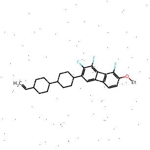 C=CC1CCC(C2CCC(c3cc4c(c(F)c3F)-c3c-4ccc(OCC)c3F)CC2)CC1